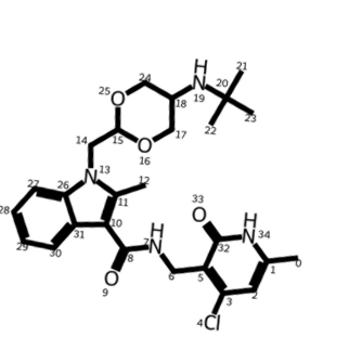 Cc1cc(Cl)c(CNC(=O)c2c(C)n(CC3OCC(NC(C)(C)C)CO3)c3ccccc23)c(=O)[nH]1